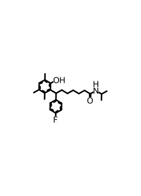 Cc1cc(C)c(O)c(C(CCCCCC(=O)NC(C)C)c2ccc(F)cc2)c1C